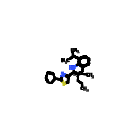 CCCCC(Nc1c(C(C)C)cccc1C(C)C)c1csc(C2C=CC=CC2)n1